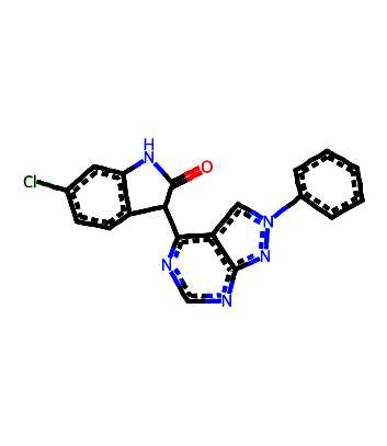 O=C1Nc2cc(Cl)ccc2C1c1ncnc2nn(-c3ccccc3)cc12